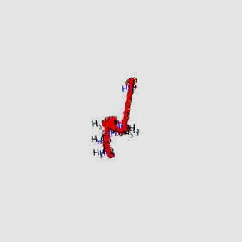 COc1cc2c(cc1OCCCC(=O)Nc1cc(C(=O)Nc3ccc(-c4cc(C(=O)Nc5ccccc5)n(C)c4)cc3)n(C)c1)N(C(=O)OCc1ccc(NC(=O)[C@H](C)NC(=O)[C@@H](NC(=O)CCOCCOCCOCCOCCOCCOCCOCCOCCNC(=O)CCN3C(=O)C=CC3=O)C(C)C)cc1)[C@@H](O)[C@@H]1CCCCN1C2=O